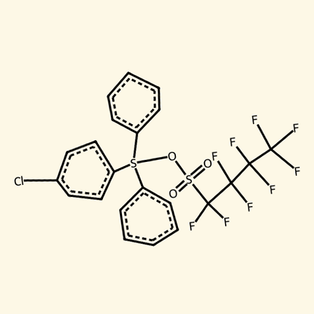 O=S(=O)(OS(c1ccccc1)(c1ccccc1)c1ccc(Cl)cc1)C(F)(F)C(F)(F)C(F)(F)C(F)(F)F